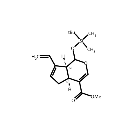 C=CC1=CC[C@@H]2C(C(=O)OC)=COC(O[Si](C)(C)C(C)(C)C)[C@H]12